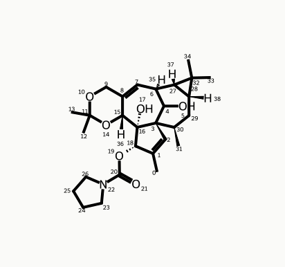 CC1=C[C@]23C(O)[C@@H](C=C4COC(C)(C)O[C@H]4[C@]2(O)[C@H]1OC(=O)N1CCCC1)[C@H]1[C@@H](C[C@H]3C)C1(C)C